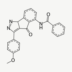 COc1ccc(C2=C3C(=O)c4c(NC(=O)c5ccccc5)cccc4C3N=N2)cc1